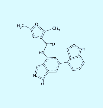 Cc1nc(C(=O)Nc2cc(-c3cccc4[nH]ccc34)cc3[nH]ncc23)c(C)o1